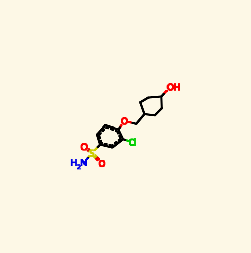 NS(=O)(=O)c1ccc(OCC2CCC(O)CC2)c(Cl)c1